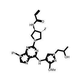 C=CC(=O)N[C@@H]1CN(c2nc(Nc3cn(CC(C)O)nc3OC)c3ncn(C(C)C)c3n2)C[C@H]1F